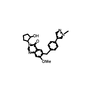 COc1cc2ncn(C3CCCC3O)c(=O)c2cc1Cc1ccc(-c2cnn(C)c2)cc1